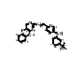 Fc1cnc(N/N=C/c2ccc(Nc3cccc(C(F)(F)F)c3)cn2)nc1Nc1ccccc1